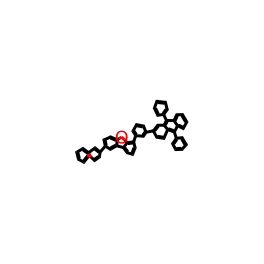 c1ccc(-c2c3ccccc3c(-c3ccccc3)c3cc(-c4cccc(-c5cccc6c5oc5ccc(-c7ccc8ccccc8c7)cc56)c4)ccc23)cc1